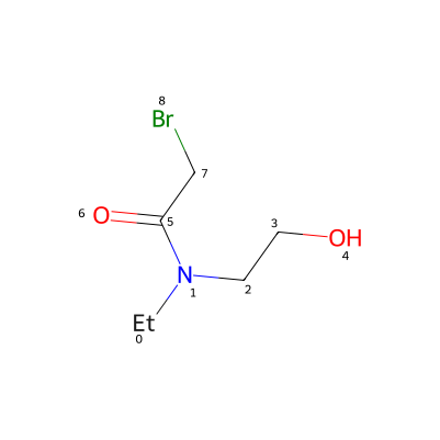 CCN(CCO)C(=O)CBr